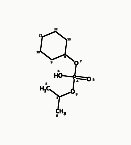 CC(C)OP(=O)(O)OC1CCCCC1